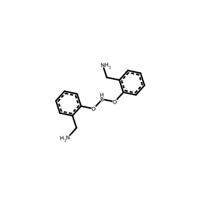 NCc1ccccc1OBOc1ccccc1CN